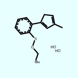 CC1=CCC(c2cccc[c]2[Ti][O]CC(C)(C)C)=C1.Cl.Cl